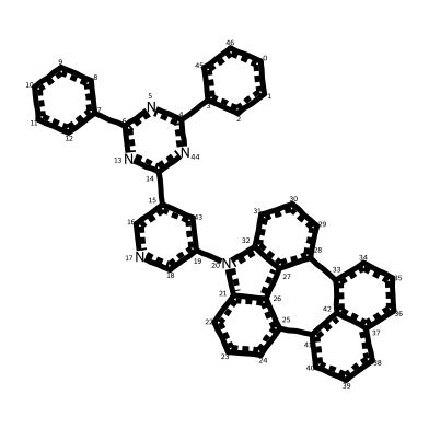 c1ccc(-c2nc(-c3ccccc3)nc(-c3cncc(-n4c5cccc6c5c5c(cccc54)-c4cccc5cccc-6c45)c3)n2)cc1